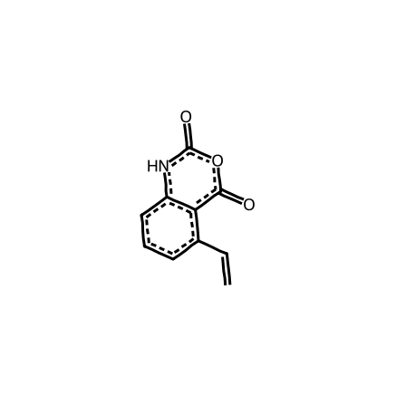 C=Cc1cccc2[nH]c(=O)oc(=O)c12